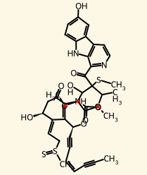 CC#C/C=C\C#C[C@H](OC1OC(C)C(SC)(C(=O)c2nccc3c2[nH]c2ccc(O)cc23)C(O)C1OC)C1=C(NC(=O)OC)C(=O)C[C@H](O)/C1=C/CS(C)=S